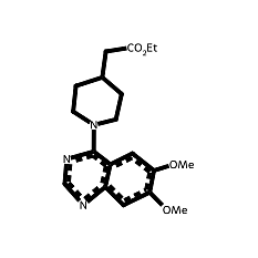 CCOC(=O)CC1CCN(c2ncnc3cc(OC)c(OC)cc23)CC1